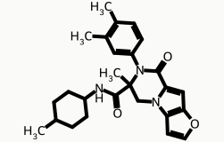 Cc1ccc(N2C(=O)c3cc4occc4n3CC2(C)C(=O)NC2CCC(C)CC2)cc1C